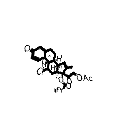 CC(=O)OCC(=O)[C@@]1(OC(=O)C(C)C)C(C)C[C@H]2[C@@H]3CCC4=CC(=O)C=C[C@]4(C)[C@H]3C(Cl)C[C@@]21C